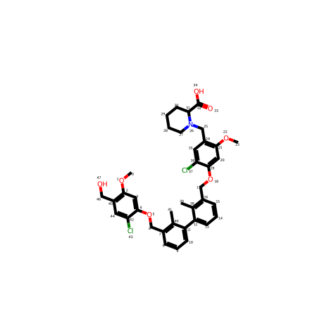 COc1cc(OCc2cccc(-c3cccc(COc4cc(OC)c(CN5CCCCC5C(=O)O)cc4Cl)c3C)c2C)c(Cl)cc1CO